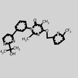 Cc1c(OCc2cccc(C(F)(F)F)n2)nc(C)n(-c2cccc(-c3ccnc(C(C)(C)O)n3)c2)c1=O